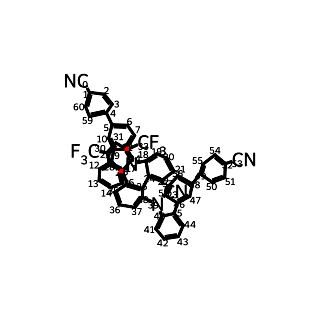 N#Cc1ccc(-c2ccc3c(c2)c2ccccc2n3-c2cccc(C#N)c2-c2c(-c3cc(C(F)(F)F)cc(C(F)(F)F)c3)cccc2-n2c3ccccc3c3cc(-c4ccc(C#N)cc4)ccc32)cc1